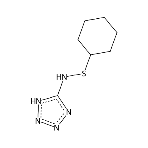 C1CCC(SNc2nnn[nH]2)CC1